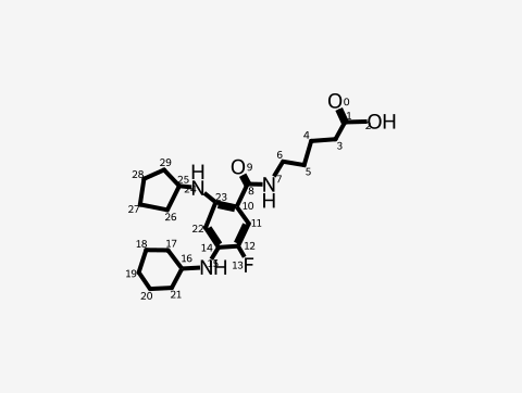 O=C(O)CCCCNC(=O)c1cc(F)c(NC2CCCCC2)cc1NC1CCCC1